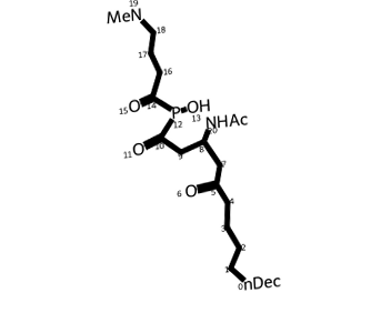 CCCCCCCCCCCCCCC(=O)CC(CC(=O)P(O)C(=O)CCCNC)NC(C)=O